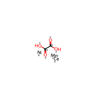 O=C(O)C(=O)O.[Ce].[Mn].[Ni]